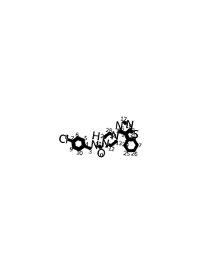 O=C(NCc1ccc(Cl)cc1)N1CCN(c2ncnc3sc4c(c23)CCCC4)CC1